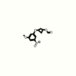 COc1cc(OC2CC(OC=O)C2)cc([N+](=O)[O-])c1